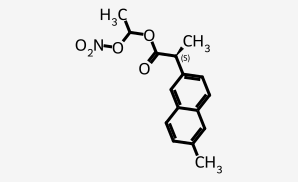 Cc1ccc2cc([C@H](C)C(=O)OC(C)O[N+](=O)[O-])ccc2c1